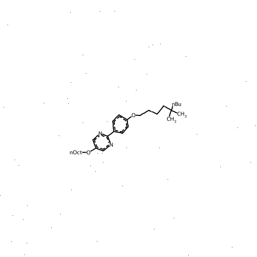 CCCCCCCCOc1cnc(-c2ccc(OCCCCC(C)(C)CCCC)cc2)nc1